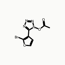 CC(=O)On1nnnc1-c1ccoc1Br